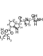 CC(C)(C)OC(=O)c1cccc2c(C(=O)c3nc(C(O)NN)cs3)c[nH]c12